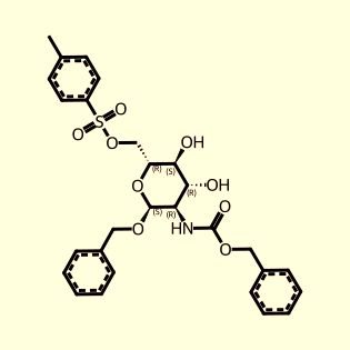 Cc1ccc(S(=O)(=O)OC[C@H]2O[C@H](OCc3ccccc3)[C@H](NC(=O)OCc3ccccc3)[C@@H](O)[C@@H]2O)cc1